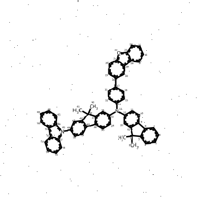 CC1(C)c2ccccc2-c2ccc(N(c3ccc(-c4ccc5oc6ccccc6c5c4)cc3)c3ccc4c(c3)C(C)(C)c3cc(-n5c6ccccc6c6ccccc65)ccc3-4)cc21